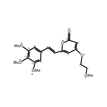 COCCOc1cc(C=Cc2cc(OC)c(OCC(C)C)c(OC)c2)oc(=O)c1